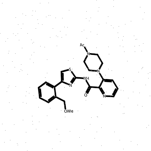 COCc1ccccc1-c1csc(NC(=O)c2ncccc2N2CCN(C(C)=O)CC2)n1